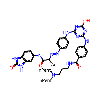 CCCCCN(CCCCC)CCCNC(=O)c1ccc(Nc2nc(O)nc(Nc3ccc(N=NC(C(C)=O)C(=O)Nc4ccc5[nH]c(=O)[nH]c5c4)cc3)n2)cc1